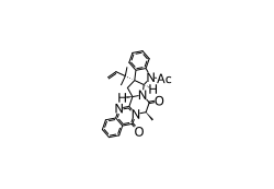 C=CC(C)(C)[C@@]12C[C@H]3c4nc5ccccc5c(=O)n4[C@H](C)C(=O)N3[C@@H]1N(C(C)=O)c1ccccc12